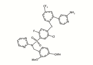 COc1ccc(CN(c2ncccn2)S(=O)(=O)c2cc(Cl)c(Sc3ccc(C(F)(F)F)cc3-c3ccnc(N)c3)cc2F)c(OC)c1